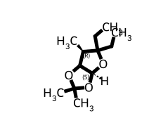 CCC1(CC)O[C@H]2OC(C)(C)OC2[C@H]1C